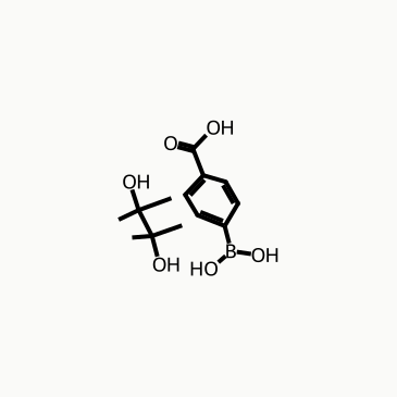 CC(C)(O)C(C)(C)O.O=C(O)c1ccc(B(O)O)cc1